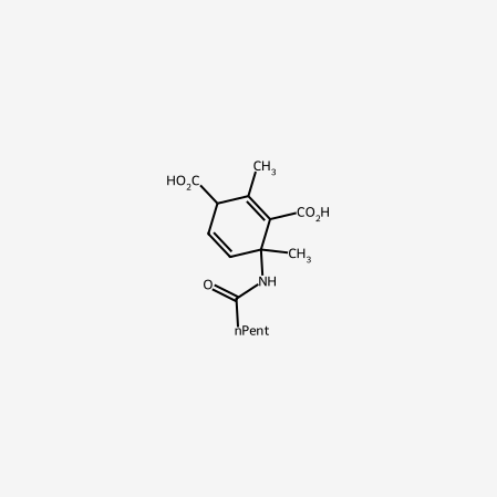 CCCCCC(=O)NC1(C)C=CC(C(=O)O)C(C)=C1C(=O)O